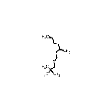 C=CCCC(=C)CCSCC(C)(C)C